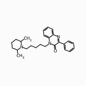 CC1CCCC(C)N1CCCCCn1c(=O)c(-c2ccccc2)nc2ccccc21